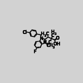 Cc1c(C(C)C(C)(C)C(=O)O)n(Cc2ccc(Cl)cc2)c2ccc(F)cc12